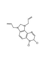 C=CCN1CN(CC=C)c2c1ccc1c2N=CC(Cl)N1Cl